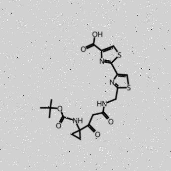 CC(C)(C)OC(=O)NC1(C(=O)CC(=O)NCc2nc(-c3nc(C(=O)O)cs3)cs2)CC1